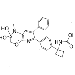 CN1c2cc(-c3ccccc3)c(-c3ccc(C4(NC(=O)O)CCC4)cc3)nc2OCS1(O)O